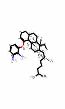 CC(C)CCC[C@@H](C)[C@H]1CC[C@H]2[C@@H]3CCC4CCC=C(Oc5cccc(N)c5N)[C@]4(C)[C@H]3CC[C@]12C